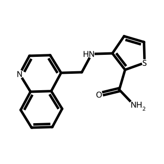 NC(=O)c1sccc1NCc1ccnc2ccccc12